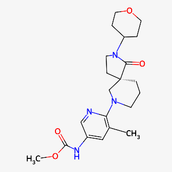 COC(=O)Nc1cnc(N2CCC[C@@]3(CCN(C4CCOCC4)C3=O)C2)c(C)c1